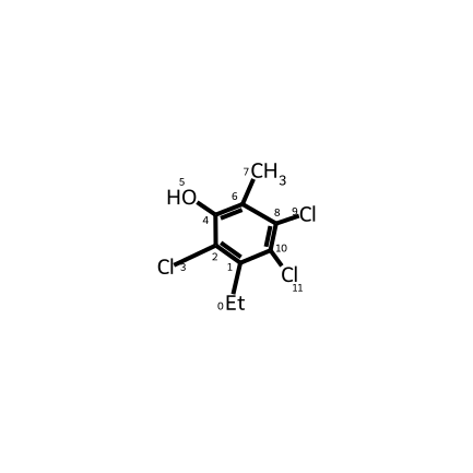 CCc1c(Cl)c(O)c(C)c(Cl)c1Cl